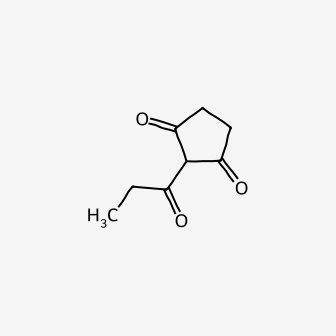 CCC(=O)C1C(=O)CCC1=O